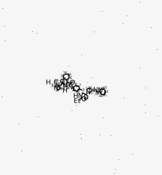 CCC(=O)N[C@H](Cc1ccc(NC(=O)[C@@H](NC(=O)c2ccnn2C)C2CCCCC2)cc1)C(=O)N1CC[C@H](NCc2ccccc2)C1